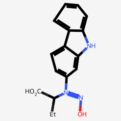 CCC(C(=O)O)[N+](=NO)c1ccc2c(c1)[nH]c1ccccc12